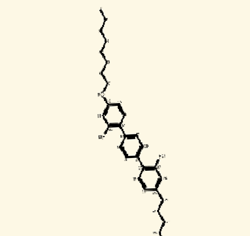 CCCCCCCCOc1ccc(-c2ccc(-c3ccc(CCCCC)cc3F)cc2)c(F)c1